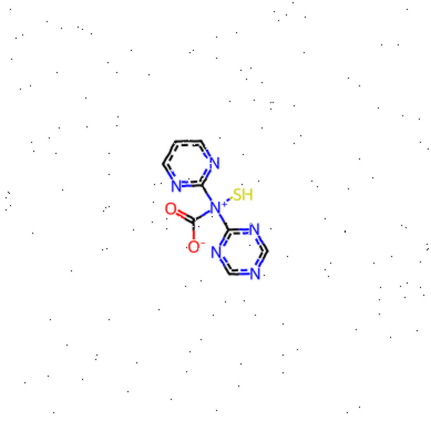 O=C([O-])[N+](S)(c1ncccn1)c1ncncn1